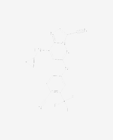 N#Cc1ccc(Nc2cc(NC3CC3)c3ncc(C#N)n3n2)cc1C(F)(F)F